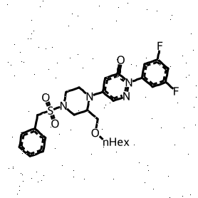 CCCCCCOCC1CN(S(=O)(=O)Cc2ccccc2)CCN1c1cnn(-c2cc(F)cc(F)c2)c(=O)c1